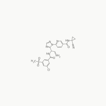 CS(=O)(=O)c1cc(Cl)cc(C(=O)NC(C=[SiH2])c2ncnn2-c2ccc(C(=O)NC3(C#N)CC3)cn2)c1